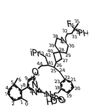 Cc1cccc(C)c1-c1cc2nc(n1)NS(=O)(=O)c1cccc(c1)CC(C1CC3(CCN(CCC(C)(F)P)CC3)C1)C(CC(C)C)CO2